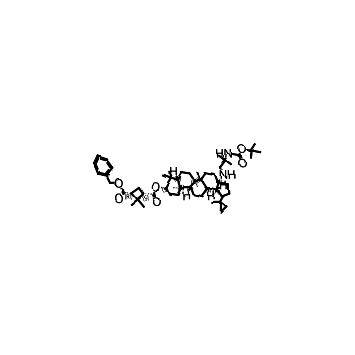 CC(C)(CN[C@]12CCC(C3(C)CC3)[C@@H]1[C@H]1CC[C@@H]3[C@@]4(C)CC[C@H](OC(=O)[C@H]5C[C@@H](C(=O)OCc6ccccc6)C5(C)C)C(C)(C)[C@@H]4CC[C@@]3(C)[C@]1(C)CC2)NC(=O)OC(C)(C)C